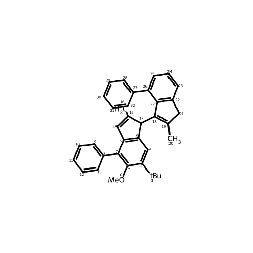 COc1c(C(C)(C)C)cc2c(c1-c1ccccc1)C=C(C)C2C1=C(C)[CH]c2cccc(-c3ccccc3)c21